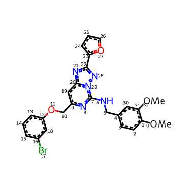 COc1ccc(CNc2nc(COc3cccc(Br)c3)cc3nc(-c4ccco4)nn23)cc1OC